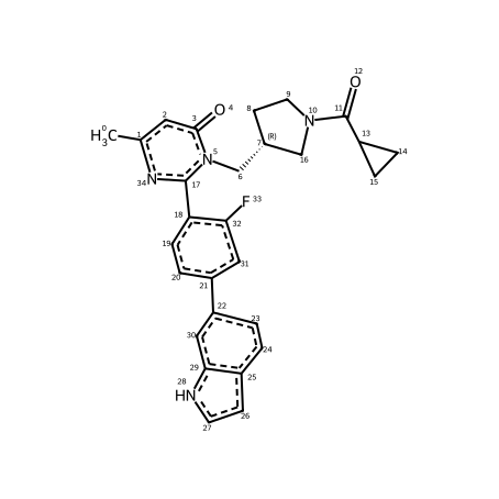 Cc1cc(=O)n(C[C@@H]2CCN(C(=O)C3CC3)C2)c(-c2ccc(-c3ccc4cc[nH]c4c3)cc2F)n1